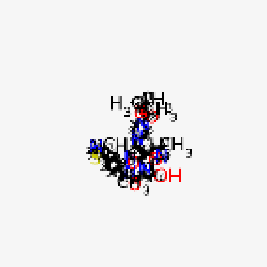 Cc1cc(C(C(=O)N2C[C@H](O)C[C@H]2C(=O)NC(C)c2ccc(-c3scnc3C)cc2)C(C)(C)CN2CCN(C(=O)OC(C)(C)C)CC2)on1